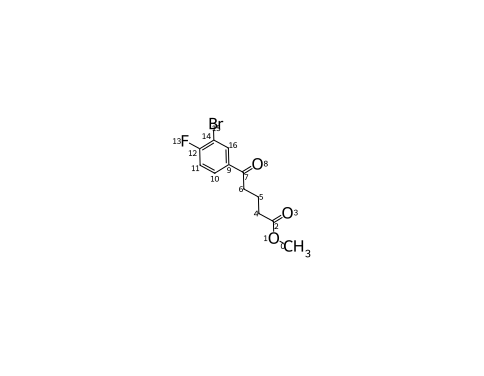 COC(=O)CCCC(=O)c1ccc(F)c(Br)c1